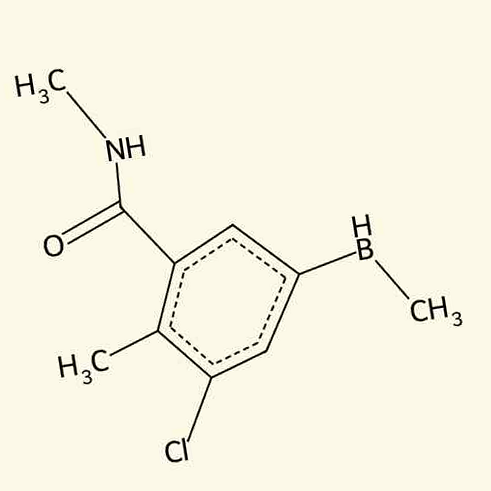 CBc1cc(Cl)c(C)c(C(=O)NC)c1